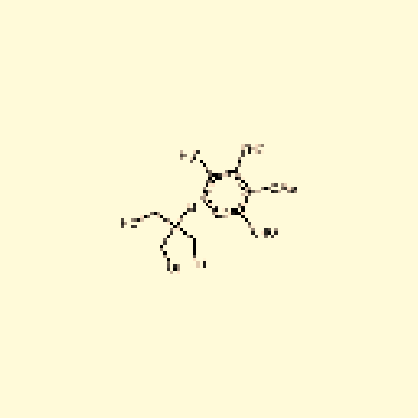 CCC(CO)(CO)CO.COc1c(C=O)ccc(C)c1C=O